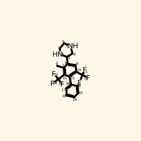 Cc1c(C2CNCCN2)cc(C(F)(F)F)c(-c2ccccc2)c1C(F)(F)F